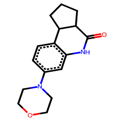 O=C1Nc2cc(N3CCOCC3)ccc2C2CCCC12